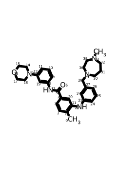 Cc1ccc(C(=O)Nc2cccc(N3CCOCC3)c2)cc1Nc1cccc(CN2CCCN(C)CC2)c1